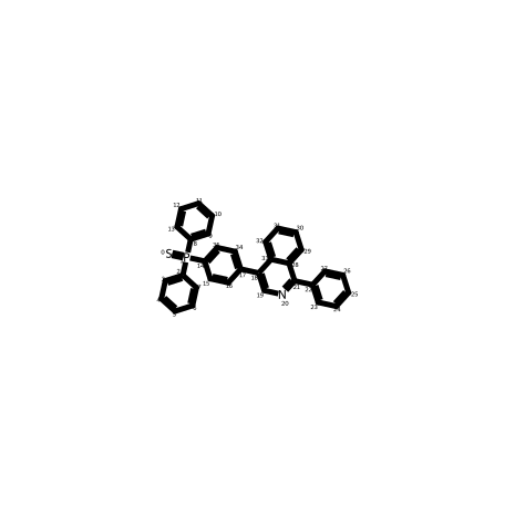 S=P(c1ccccc1)(c1ccccc1)c1ccc(-c2cnc(-c3ccccc3)c3ccccc23)cc1